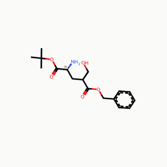 CC(C)(C)OC(=O)[C@@H](N)CC(CO)C(=O)OCc1ccccc1